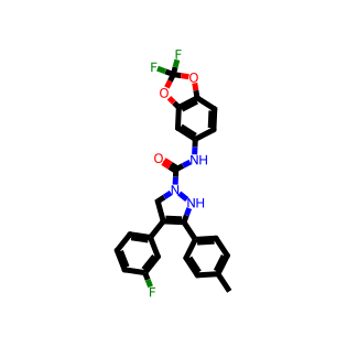 Cc1ccc(C2=C(c3cccc(F)c3)CN(C(=O)Nc3ccc4c(c3)OC(F)(F)O4)N2)cc1